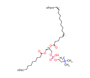 CCCCC/C=C\CCCCCCC/C=C\CCCC(=O)O[C@H](COC(=O)CCCCCCCCCCCCCCCCC)COP(=O)(O)OCC[N+](C)(C)C